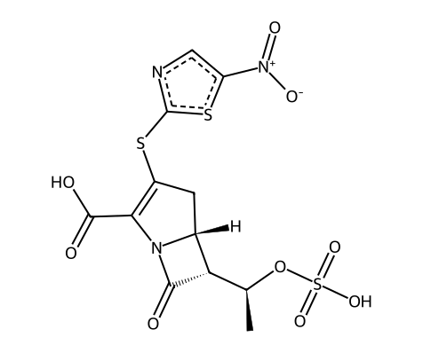 C[C@H](OS(=O)(=O)O)[C@@H]1C(=O)N2C(C(=O)O)=C(Sc3ncc([N+](=O)[O-])s3)C[C@H]12